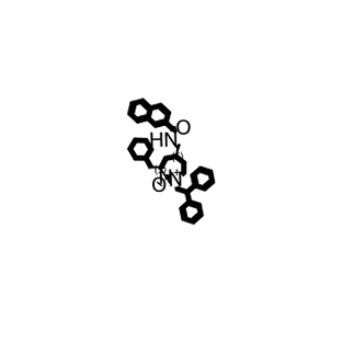 O=C(NC[C@H]1CCN(CC(c2ccccc2)c2ccccc2)[N+](=O)[C@@H](CC2CCCCC2)C1)c1ccc2ccccc2c1